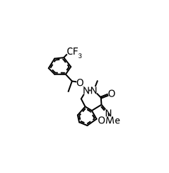 CO/N=C1/C(=O)N(C)N(OC(C)c2cccc(C(F)(F)F)c2)Cc2ccccc21